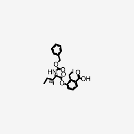 CC[C@H](C)[C@H](NC(=O)OCc1ccccc1)C(=O)Oc1cccc(C(=O)O)c1CI